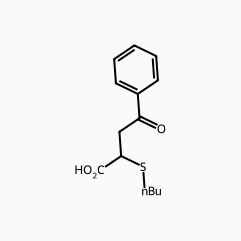 CCCCSC(CC(=O)c1ccccc1)C(=O)O